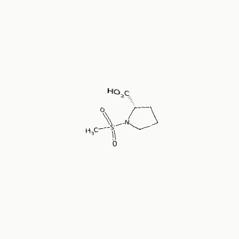 CS(=O)(=O)N1CCC[C@H]1C(=O)O